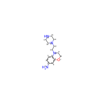 Nc1ccc2c(c1)OCCN2CCN1CCNCC1